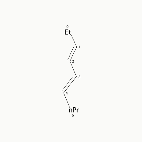 CCC=CC=CCCC